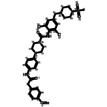 COc1ccc(CC(=O)Nc2ccc(N3CCN(C(=O)Nc4c(Cl)cc(CN5CCN(S(C)(=O)=O)CC5)cc4Cl)CC3)cc2)cc1